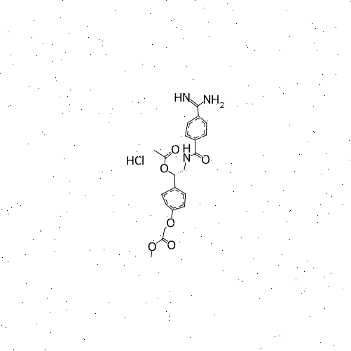 COC(=O)COc1ccc([C@@H](CNC(=O)c2ccc(C(=N)N)cc2)OC(C)=O)cc1.Cl